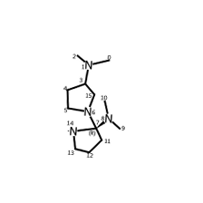 CN(C)C1CCN([C@]2(N(C)C)CCC[N]2)C1